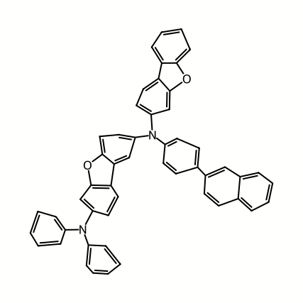 c1ccc(N(c2ccccc2)c2ccc3c(c2)oc2ccc(N(c4ccc(-c5ccc6ccccc6c5)cc4)c4ccc5c(c4)oc4ccccc45)cc23)cc1